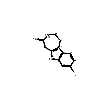 O=C1Cc2[nH]c3cc(F)ccc3c2CCN1